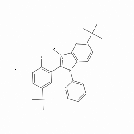 Cc1ccc(C(C)(C)C)cc1-c1n(-c2ccccc2)c2ccc(C(C)(C)C)cc2[n+]1C